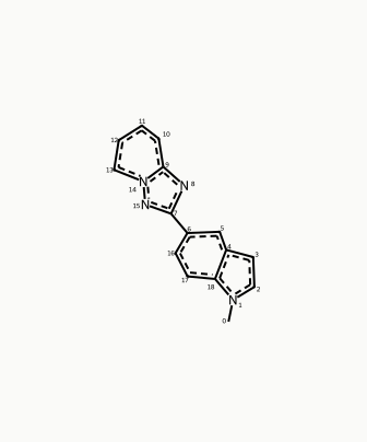 Cn1ccc2cc(-c3nc4ccccn4n3)ccc21